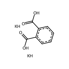 O=C(O)c1ccccc1C(=O)O.[KH].[KH]